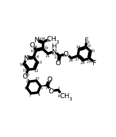 CCOC(=O)[C@H]1CCC[C@H](Oc2ccc(-c3onc(C)c3CNC(=O)OCc3cc(F)cc(F)c3)nc2)C1